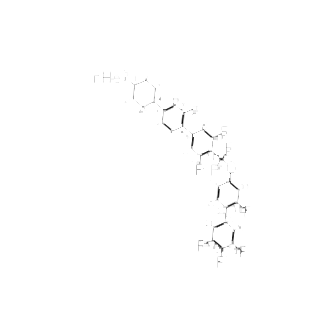 CCCCCCC1CCC(c2ccc(-c3cc(F)c(C(F)(F)Oc4ccc(-c5cc(F)c(F)c(F)c5)c(F)c4)c(F)c3)c(F)c2)CC1